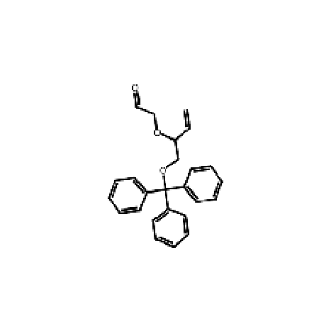 C=CC(COC(c1ccccc1)(c1ccccc1)c1ccccc1)OCC=O